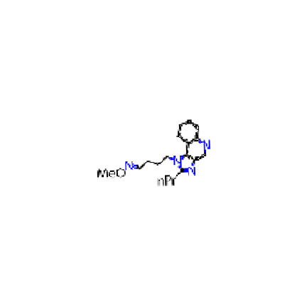 CCCc1nc2cnc3ccccc3c2n1CCCC=NOC